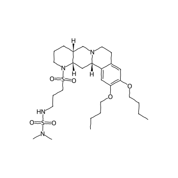 CCCCOc1cc2c(cc1OCCCC)[C@@H]1C[C@H]3[C@H](CCCN3S(=O)(=O)CCCNS(=O)(=O)N(C)C)CN1CC2